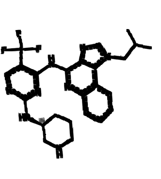 CC(C)Cn1cnc2c(Nc3nc(N[C@H]4CCCNC4)ncc3C(F)(F)F)nc3ccccc3c21